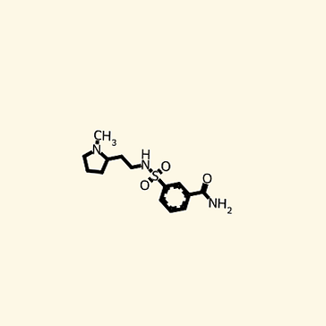 CN1CCCC1CCNS(=O)(=O)c1cccc(C(N)=O)c1